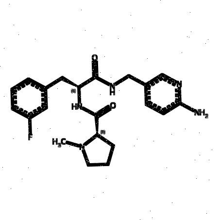 CN1CCC[C@@H]1C(=O)N[C@@H](Cc1cccc(F)c1)C(=O)NCc1ccc(N)nc1